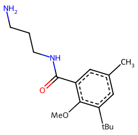 COc1c(C(=O)NCCCN)cc(C)cc1C(C)(C)C